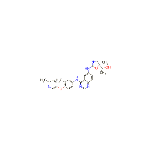 Cc1ccc(Oc2ccc(Nc3ncnc4ccc(NC5=NC[C@@](C)(C(C)O)O5)cc34)cc2C)cn1